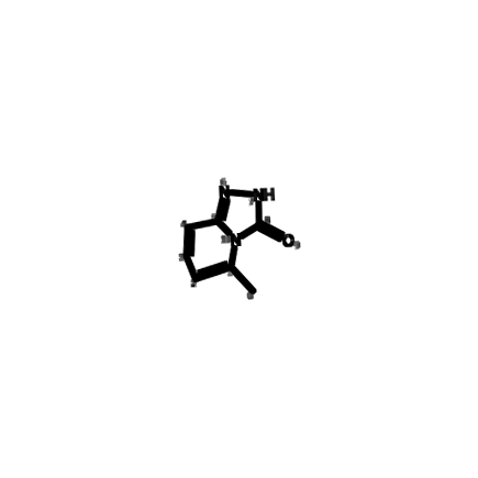 Cc1cccc2n[nH]c(=O)n12